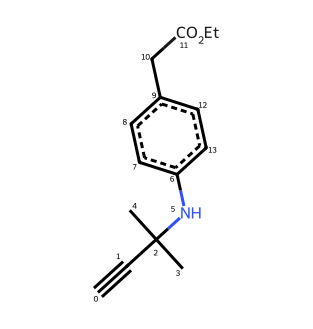 C#CC(C)(C)Nc1ccc(CC(=O)OCC)cc1